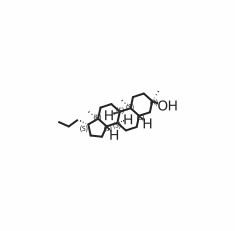 CCC[C@H]1CC[C@H]2[C@@H]3CC[C@H]4C[C@](C)(O)CC[C@]4(C)[C@H]3CC[C@]12C